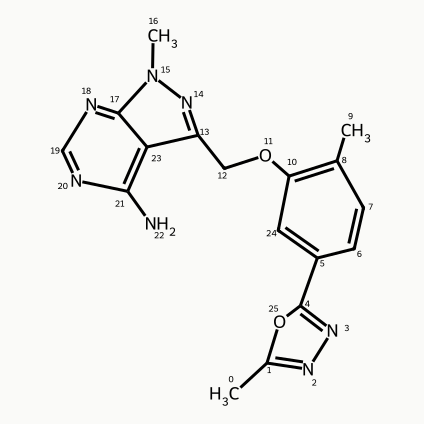 Cc1nnc(-c2ccc(C)c(OCc3nn(C)c4ncnc(N)c34)c2)o1